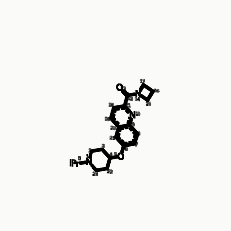 CC(C)N1CCC(Oc2ccc3nc(C(=O)N4CCC4)ccc3c2)CC1